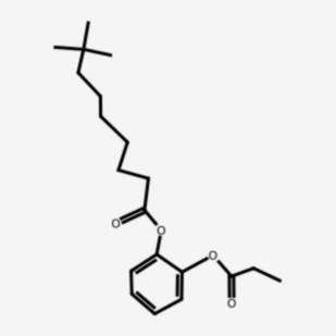 CCC(=O)Oc1ccccc1OC(=O)CCCCCCC(C)(C)C